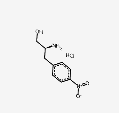 Cl.N[C@H](CO)Cc1ccc([N+](=O)[O-])cc1